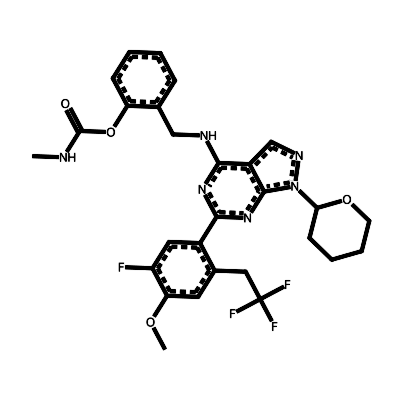 CNC(=O)Oc1ccccc1CNc1nc(-c2cc(F)c(OC)cc2CC(F)(F)F)nc2c1cnn2C1CCCCO1